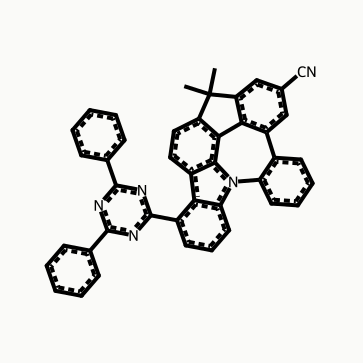 CC1(C)c2cc(C#N)cc3c2-c2c1ccc1c4c(-c5nc(-c6ccccc6)nc(-c6ccccc6)n5)cccc4n(c21)-c1ccccc1-3